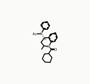 CC(=O)N(c1ccccc1)[C@H]1CC(C)N(C(=O)C2CCCCC2)c2ccccc21